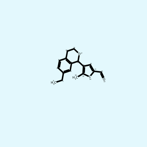 CCc1ccc2c(c1)C(c1cc(C=O)sc1C)OCC2